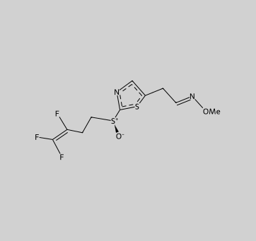 CON=CCc1cnc([S@@+]([O-])CCC(F)=C(F)F)s1